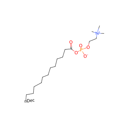 CCCCCCCCCCCCCCCCCCCCCC(=O)OP(=O)([O-])OCC[N+](C)(C)C